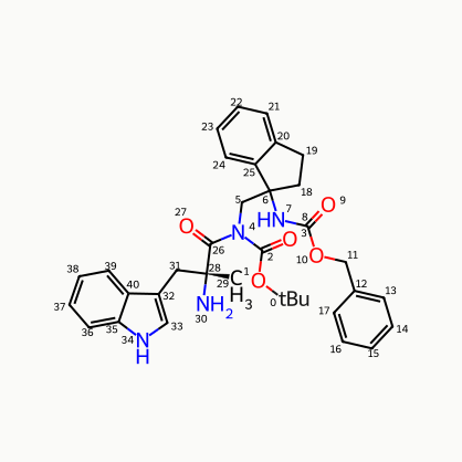 CC(C)(C)OC(=O)N(CC1(NC(=O)OCc2ccccc2)CCc2ccccc21)C(=O)[C@](C)(N)Cc1c[nH]c2ccccc12